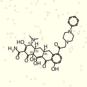 CN(C)[C@@H]1C(O)=C(C(N)=O)C(=O)[C@@]2(O)C(O)=C3C(=O)c4c(O)ccc(C(=O)CN5CCN(c6ccccc6)CC5)c4C[C@H]3C[C@@H]12